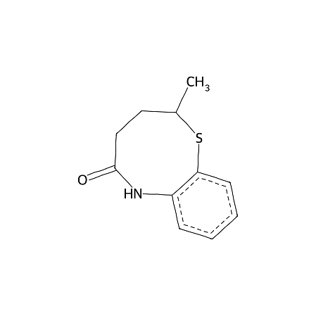 CC1CCC(=O)Nc2ccccc2S1